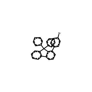 Brc1ccc(-c2cccc3c2C(c2ccccc2)(c2ccccc2)c2ccccc2-3)cc1